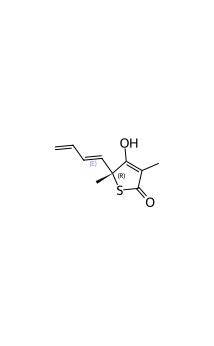 C=C/C=C/[C@@]1(C)SC(=O)C(C)=C1O